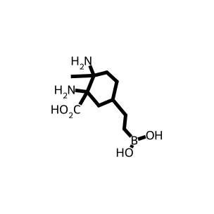 CC1(N)CCC(CCB(O)O)CC1(N)C(=O)O